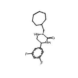 O=C1NC(c2cc(F)cc(F)c2)CN[C@H]1CC1CCCCCC1